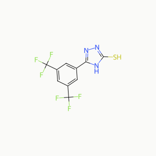 FC(F)(F)c1cc(-c2nnc(S)[nH]2)cc(C(F)(F)F)c1